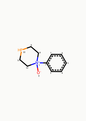 [O-][N+]1(c2ccccc2)CCPCC1